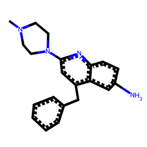 CN1CCN(c2cc(Cc3ccccc3)c3cc(N)ccc3n2)CC1